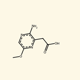 COc1cnc(N)c(CC(=O)O)n1